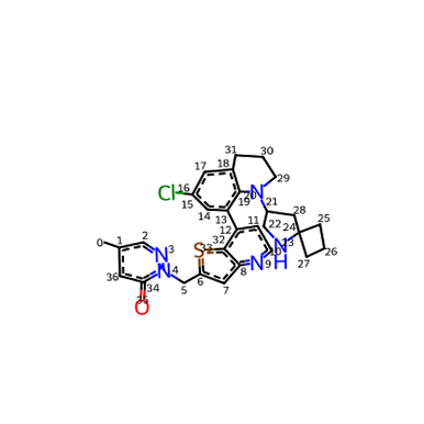 Cc1cnn(Cc2cc3nccc(-c4cc(Cl)cc5c4N(C4CNC6(CCC6)C4)CCC5)c3s2)c(=O)c1